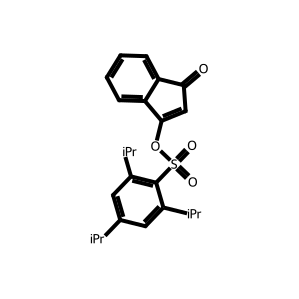 CC(C)c1cc(C(C)C)c(S(=O)(=O)OC2=CC(=O)c3ccccc32)c(C(C)C)c1